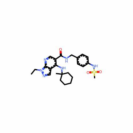 CCn1ncc2c(NC3(C)CCCCC3)c(C(=O)NCc3ccc(NS(C)(=O)=O)cc3)cnc21